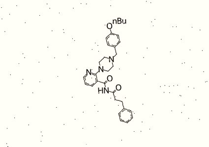 CCCCOc1ccc(CN2CCN(c3ncccc3C(=O)NC(=O)CCc3ccccc3)CC2)cc1